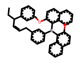 CCC(/C=C\Cc1cccc(B(c2c(OC)ccc3ccccc23)c2c(OC)ccc3ccccc23)c1)c1ccccc1